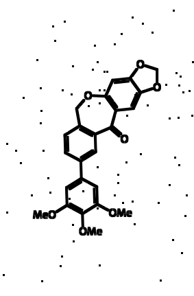 COc1cc(-c2ccc3c(c2)C(=O)c2cc4c(cc2OC3)OCO4)cc(OC)c1OC